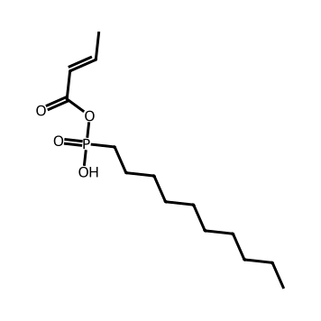 CC=CC(=O)OP(=O)(O)CCCCCCCCCC